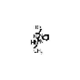 C=CCNc1nc2ccccc2n2c(CO)cnc12